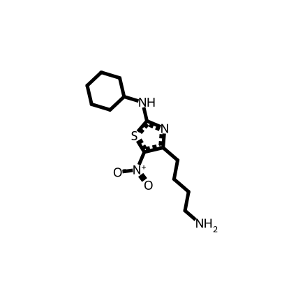 NCCCCc1nc(NC2CCCCC2)sc1[N+](=O)[O-]